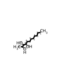 CCCCCCCCCC(O)C(O)C(C)O